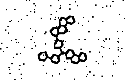 c1ccc(-c2cccc(N(c3ccc(-c4cccc5c4ccc4c6ccccc6ccc54)cc3)c3ccc4c(ccc5ccccc54)c3)c2)cc1